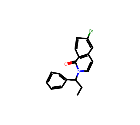 CCC(c1ccccc1)n1ccc2cc(Br)ccc2c1=O